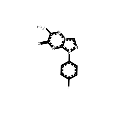 O=C(O)c1nn2cnn(-c3ccc(F)cc3)c2nc1=O